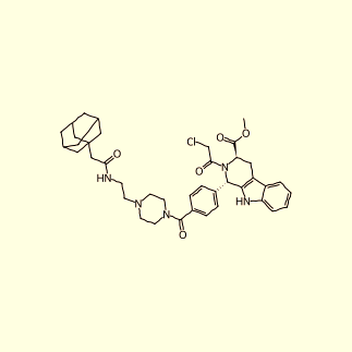 COC(=O)[C@H]1Cc2c([nH]c3ccccc23)[C@H](c2ccc(C(=O)N3CCN(CCNC(=O)CC45CC6CC(CC(C6)C4)C5)CC3)cc2)N1C(=O)CCl